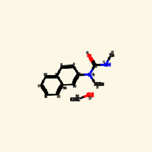 CCNC(=O)N(NC)c1ccc2ccccc2c1.O=CO